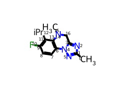 Cc1nc2n(n1)-c1ccc(F)c(C(C)C)c1N(C)C2